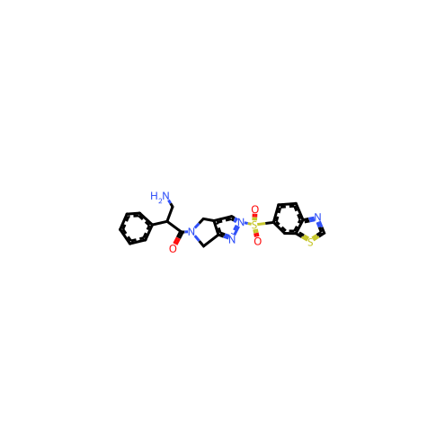 NCC(C(=O)N1Cc2cn(S(=O)(=O)c3ccc4ncsc4c3)nc2C1)c1ccccc1